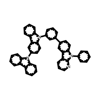 c1ccc(-n2c3ccc(-c4cccc(-n5c6ccccc6c6cc(-n7c8ccccc8c8ccccc87)ccc65)c4)cc3c3cccnc32)cc1